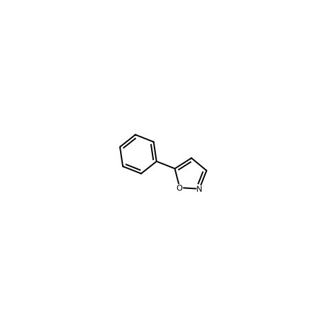 c1ccc(-c2ccno2)cc1